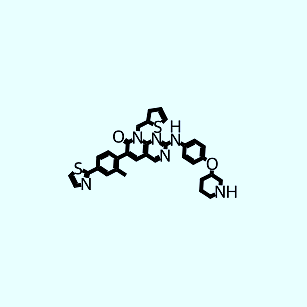 Cc1cc(-c2nccs2)ccc1-c1cc2cnc(Nc3ccc(OC4CCCNC4)cc3)nc2n(CC2CC=CS2)c1=O